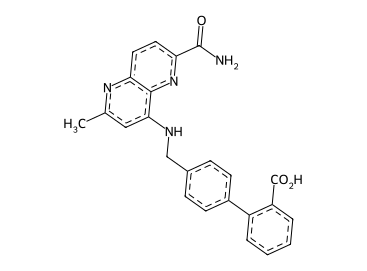 Cc1cc(NCc2ccc(-c3ccccc3C(=O)O)cc2)c2nc(C(N)=O)ccc2n1